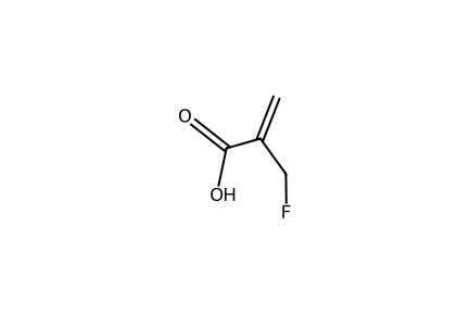 C=C(CF)C(=O)O